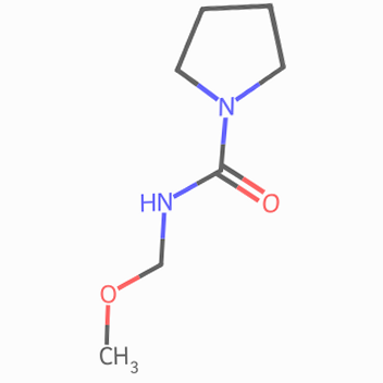 COCNC(=O)N1CCCC1